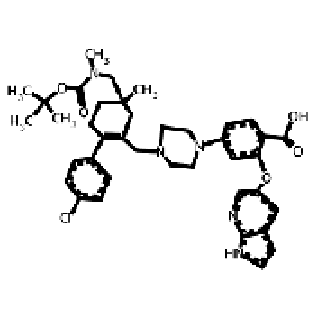 CN(CC1(C)CCC(c2ccc(Cl)cc2)=C(CN2CCN(c3ccc(C(=O)O)c(Oc4cnc5[nH]ccc5c4)c3)CC2)C1)C(=O)OC(C)(C)C